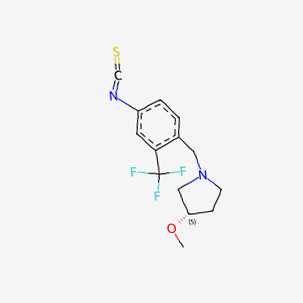 CO[C@H]1CCN(Cc2ccc(N=C=S)cc2C(F)(F)F)C1